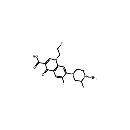 CC1CN(c2cc3c(cc2F)c(=O)c(C(=O)O)cn3CCF)CCN1N